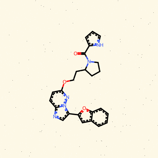 O=C(c1ccc[nH]1)N1CCCC1CCOc1ccc2ncc(-c3cc4ccccc4o3)n2n1